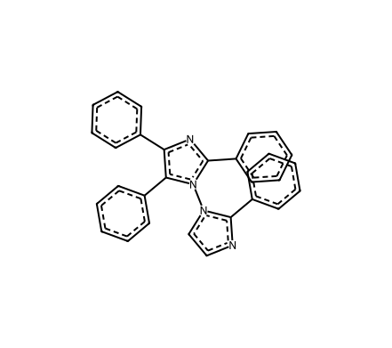 c1ccc(-c2nc(-c3ccccc3)n(-n3ccnc3-c3ccccc3)c2-c2ccccc2)cc1